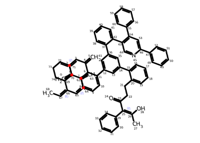 C=C(/C=C\C(=C)c1ccccc1-c1cc(-c2ccccc2CCC(=O)/C(=C(/C)O)c2ccccc2)cc(-c2ccccc2-c2cnc(-c3ccccc3)cc2-c2ccccc2)c1)C(=C)/N=C\C(=C\C)C1=CC=CCC1